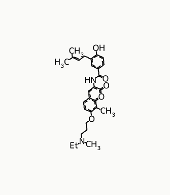 CCN(C)CCCOc1ccc2cc(NC(=O)c3ccc(O)c(CC=C(C)C)c3)c(=O)oc2c1C